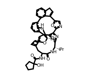 CC(C)[C@@H]1NC(=O)C(NC(=O)C2(O)CCCC2)Cc2ccc3c(c2)C24c5cccc(c5N[C@H]2O3)-c2cccc3c2C(=CC3)c2cnc(o2)-c2nc1oc24